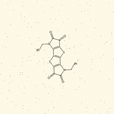 CC(C)Cn1c(=O)c(=O)c2sc3c(sc4c(=O)c(=O)n(CC(C)C)c43)c21